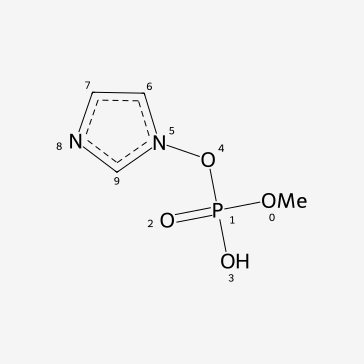 COP(=O)(O)On1ccnc1